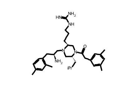 Cc1cc(C)cc(CC(=O)N2C[C@H](CCCNC(=N)N)N(C[C@@H](N)Cc3ccc(C)cc3C)C[C@H]2CC(C)C)c1